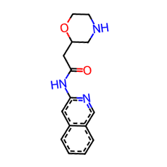 O=C(CC1CNCCO1)Nc1cc2ccccc2cn1